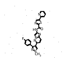 Cn1cc(-c2ccc3nc(NC(=O)c4ncc(-c5ccccn5)s4)cn3n2)c(-c2ccc(F)cc2)n1